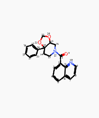 O=C(c1cccc2cccnc12)N1CCC2(c3ccccc3)OCOC2C1